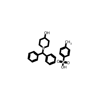 Cc1ccc(S(=O)(=O)O)cc1.OC1CCN(C(c2ccccc2)c2ccccc2)CC1